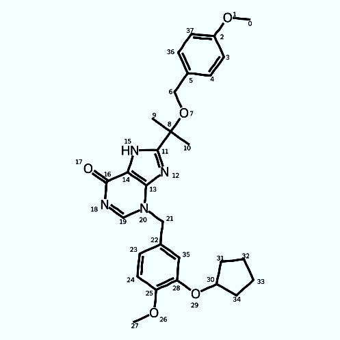 COc1ccc(COC(C)(C)c2nc3c([nH]2)c(=O)ncn3Cc2ccc(OC)c(OC3CCCC3)c2)cc1